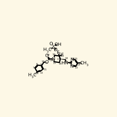 CS(=O)(=O)O.Cc1ccc(COC(=O)N2CC[C@H](CNc3ncc(C)cn3)C(F)(F)C2)cc1